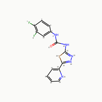 O=C(Nc1ccc(F)c(F)c1)Nc1nnc(-c2ccccn2)s1